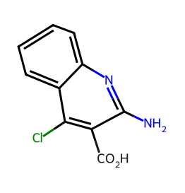 Nc1nc2ccccc2c(Cl)c1C(=O)O